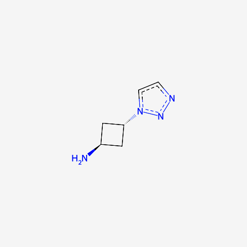 N[C@H]1C[C@H](n2ccnn2)C1